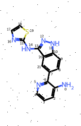 Nc1cccnc1-c1ccc2[nH]nc(Nc3nccs3)c2c1